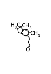 Cc1cc2c(cc1CCC=O)CCC2(C)C